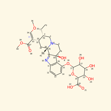 CC[C@@H]1CN2CC[C@@]3(O)C(=Nc4cccc(OC5OC(C(=O)O)C(O)C(O)C5O)c43)[C@@H]2C[C@@H]1/C(=C\OC)C(=O)OC